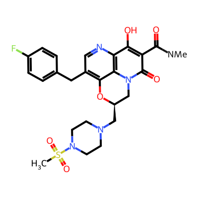 CNC(=O)c1c(O)c2ncc(Cc3ccc(F)cc3)c3c2n(c1=O)C[C@@H](CN1CCN(S(C)(=O)=O)CC1)O3